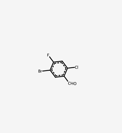 O=Cc1cc(Br)c(F)cc1Cl